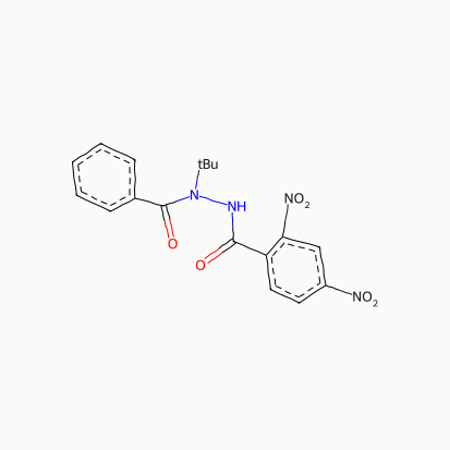 CC(C)(C)N(NC(=O)c1ccc([N+](=O)[O-])cc1[N+](=O)[O-])C(=O)c1ccccc1